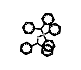 c1ccc(C(O[Si](c2ccccc2)(c2ccccc2)C(c2ccccc2)c2ccccc2)c2ccccc2)cc1